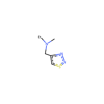 CCN(C)Cc1csnn1